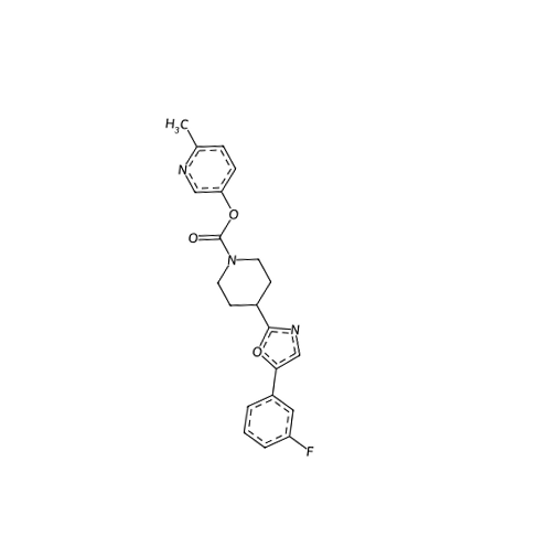 Cc1ccc(OC(=O)N2CCC(c3ncc(-c4cccc(F)c4)o3)CC2)cn1